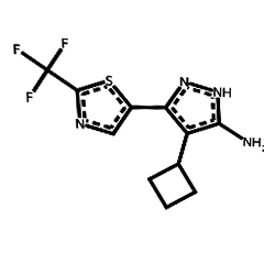 Nc1[nH]nc(-c2cnc(C(F)(F)F)s2)c1C1CCC1